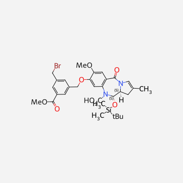 COC(=O)c1cc(CBr)cc(COc2cc3c(cc2OC)C(=O)N2C=C(C)C[C@H]2[C@H](O[Si](C)(C)C(C)(C)C)N3C(=O)O)c1